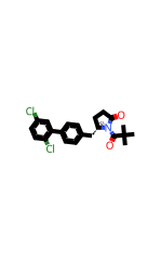 CC(C)(C)C(=O)N1C(=O)CC[C@H]1Cc1ccc(-c2cc(Cl)ccc2Cl)cc1